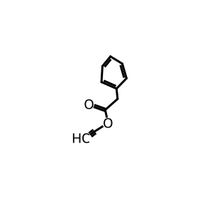 C#COC(=O)Cc1ccccc1